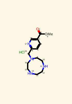 COC(=O)c1ccc(CN2CCNCCNCC2)nc1.Cl